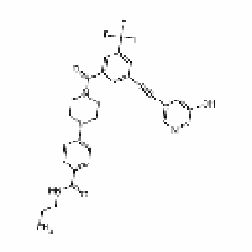 CCCNC(=O)c1ccc(N2CCN(C(=O)c3cc(C#Cc4cncc(O)c4)cc(C(F)(F)F)c3)CC2)cc1